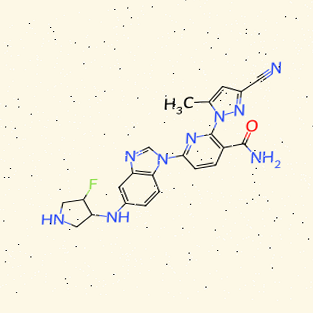 Cc1cc(C#N)nn1-c1nc(-n2cnc3cc(NC4CNCC4F)ccc32)ccc1C(N)=O